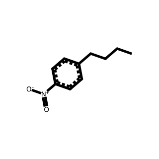 C[CH]CCc1ccc([N+](=O)[O-])cc1